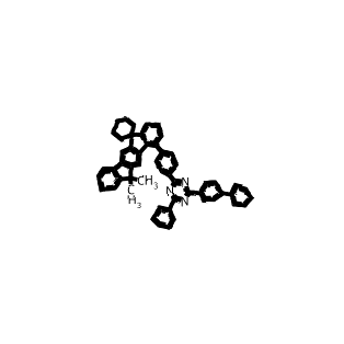 CC1(C)c2ccccc2-c2cc3c(cc21)-c1c(-c2ccc(-c4nc(-c5ccccc5)nc(-c5ccc(-c6ccccc6)cc5)n4)cc2)cccc1C31CCCCC1